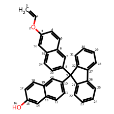 C=COc1ccc2cc(C3(c4ccc5cc(O)ccc5c4)c4ccccc4-c4ccccc43)ccc2c1